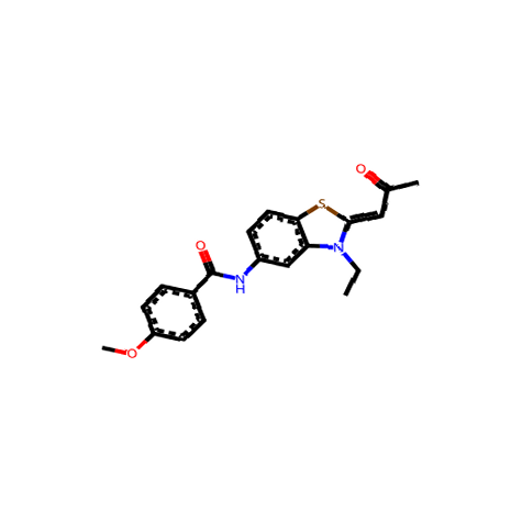 CCN1/C(=C/C(C)=O)Sc2ccc(NC(=O)c3ccc(OC)cc3)cc21